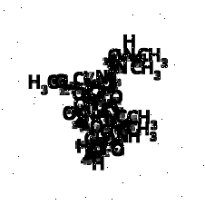 CC[C@@H]1C[C@]1(NC(=O)[C@@H]1C[C@@H](Oc2cc(-c3coc(NC(C)C)n3)nc3c(Cl)c(OCCOC)ccc23)CN1C(=O)[C@@H](NC(=O)O[C@@H]1C[C@@H]2C[C@@H]2C1)C(C)(C)C)C(=O)O